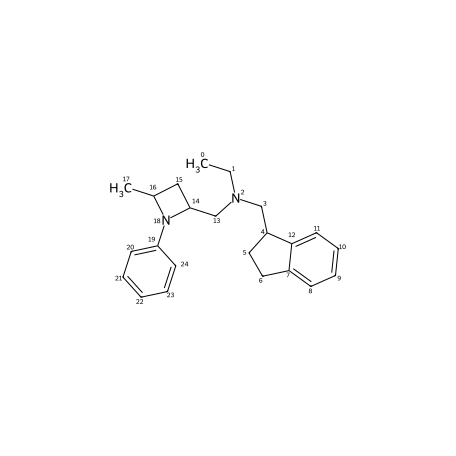 CCN(CC1CCc2ccccc21)CC1CC(C)N1c1ccccc1